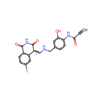 C#CC(=O)Nc1ccc(CN/C=C2\C(=O)NC(=O)c3ccc(I)cc32)cc1O